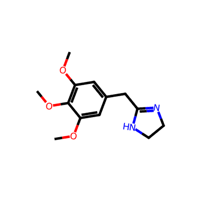 COc1cc(CC2=NCCN2)cc(OC)c1OC